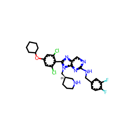 Fc1ccc(CNc2ncc3nc(-c4c(Cl)cc(OC5CCCCC5)cc4Cl)n(C[C@@H]4CCCNC4)c3n2)cc1F